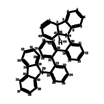 C1#CC2c3ccccc3N(c3ccccc3-c3ccccc3-c3ccccc3-n3c4ccccc4c4ccccc43)[C@H]2C=C1